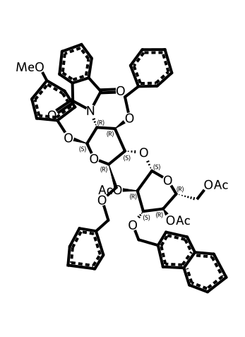 COc1ccc(O[C@@H]2O[C@H](COCc3ccccc3)[C@@H](O[C@@H]3O[C@H](COC(C)=O)[C@@H](OC(C)=O)[C@H](OCc4ccc5ccccc5c4)[C@H]3OC(C)=O)[C@H](OCc3ccccc3)[C@H]2N2C(=O)c3ccccc3C2=O)cc1